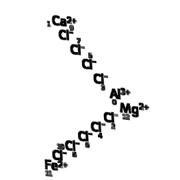 [Al+3].[Ca+2].[Cl-].[Cl-].[Cl-].[Cl-].[Cl-].[Cl-].[Cl-].[Cl-].[Cl-].[Fe+2].[Mg+2]